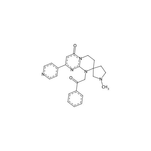 CN1CCC2(CCn3c(nc(-c4ccncc4)cc3=O)N2CC(=O)c2ccccc2)C1